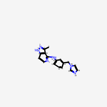 Cc1n[nH]c2ccnc(Nc3cccc(Cn4ccnc4)c3)c12